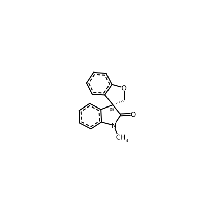 CN1C(=O)[C@@]2(COc3ccccc32)c2ccccc21